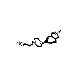 OCCN1CCN(c2ccc3c(c2)CN(I)C3)CC1